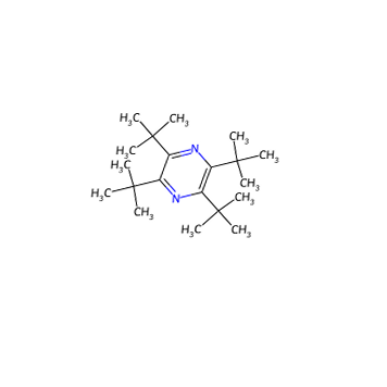 CC(C)(C)c1nc(C(C)(C)C)c(C(C)(C)C)nc1C(C)(C)C